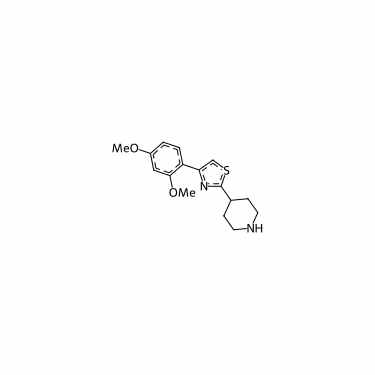 COc1ccc(-c2csc(C3CCNCC3)n2)c(OC)c1